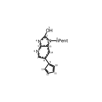 CCCCCn1c(O)nc2ncc(C3=C=CC=C3)cc21